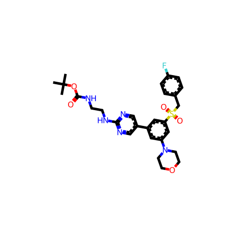 CC(C)(C)OC(=O)NCCNc1ncc(-c2cc(N3CCOCC3)cc(S(=O)(=O)Cc3ccc(F)cc3)c2)cn1